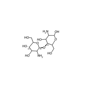 NC1C(O)OC(CO)[C@@H](O[C@@H]2OC(CO)[C@@H](O)C(O)C2N)C1O